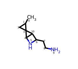 CC1CC12C1NC(CCN)C12